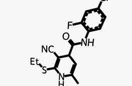 CCSC1=C(C#N)C(C(=O)Nc2ccc(Cl)cc2F)C=C(C)N1